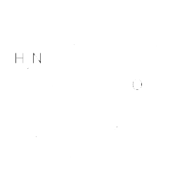 NC1CCCC12C=CCO2